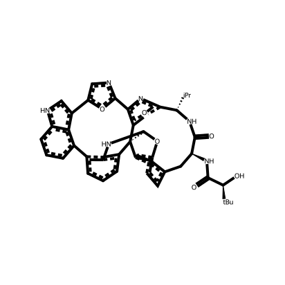 CC(C)[C@@H]1NC(=O)[C@@H](NC(=O)[C@@H](O)C(C)(C)C)Cc2ccc3c(c2)[C@]24c5cccc(c5NC2O3)-c2cccc3[nH]cc(c23)-c2cnc(o2)-c2nc1oc24